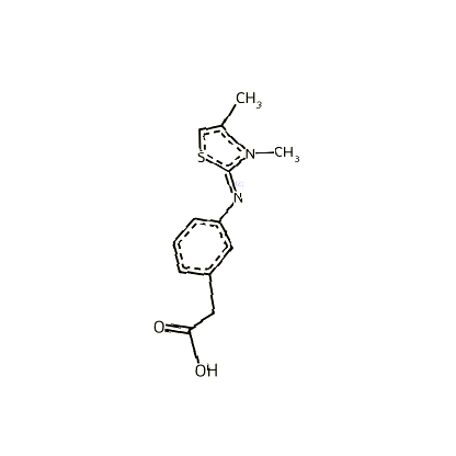 Cc1cs/c(=N\c2cccc(CC(=O)O)c2)n1C